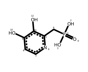 O=P(O)(O)Cc1nccc(O)c1O